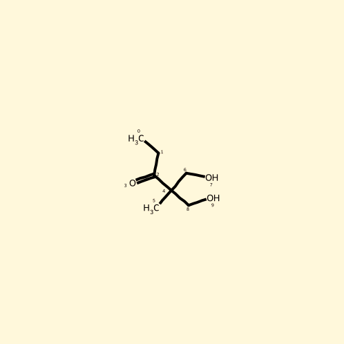 CCC(=O)C(C)(CO)CO